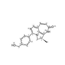 C[C@H]1CN2C(c3ccc(CO)cc3)=NC=C3C=CC(=O)NC1=C32